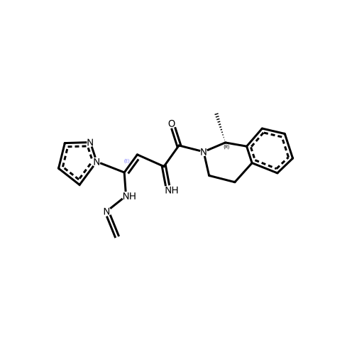 C=NN/C(=C\C(=N)C(=O)N1CCc2ccccc2[C@H]1C)n1cccn1